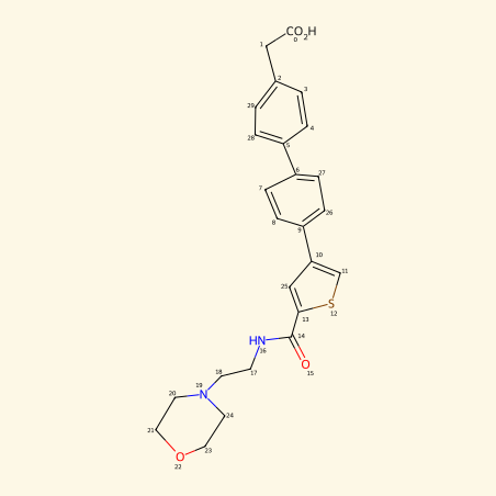 O=C(O)Cc1ccc(-c2ccc(-c3csc(C(=O)NCCN4CCOCC4)c3)cc2)cc1